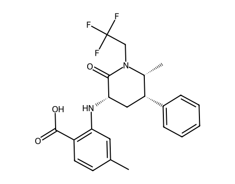 Cc1ccc(C(=O)O)c(N[C@H]2C[C@@H](c3ccccc3)[C@@H](C)N(CC(F)(F)F)C2=O)c1